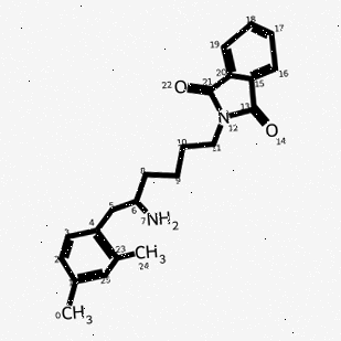 Cc1ccc(CC(N)CCCCN2C(=O)c3ccccc3C2=O)c(C)c1